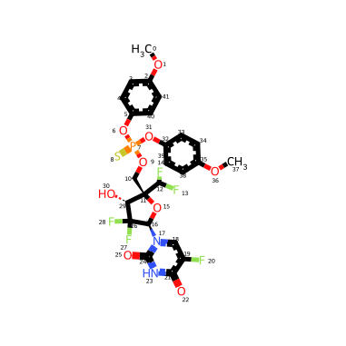 COc1ccc(OP(=S)(OC[C@@]2(C(F)F)O[C@@H](n3cc(F)c(=O)[nH]c3=O)C(F)(F)[C@@H]2O)Oc2ccc(OC)cc2)cc1